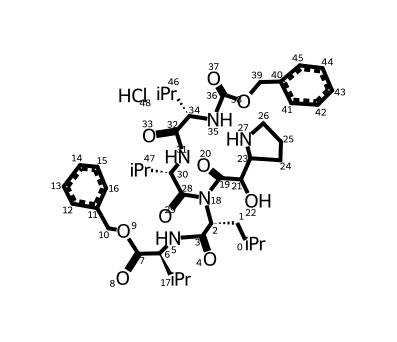 CC(C)C[C@H](C(=O)N[C@H](C(=O)OCc1ccccc1)C(C)C)N(C(=O)C(O)C1CCCN1)C(=O)[C@@H](NC(=O)[C@@H](NC(=O)OCc1ccccc1)C(C)C)C(C)C.Cl